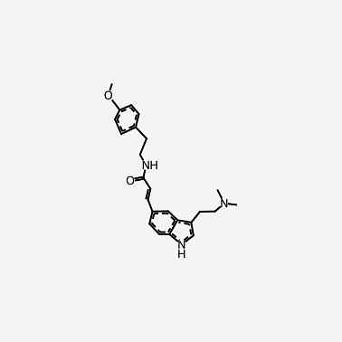 COc1ccc(CCNC(=O)C=Cc2ccc3[nH]cc(CCN(C)C)c3c2)cc1